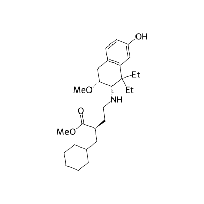 CCC1(CC)c2cc(O)ccc2C[C@@H](OC)[C@H]1NCC[C@@H](CC1CCCCC1)C(=O)OC